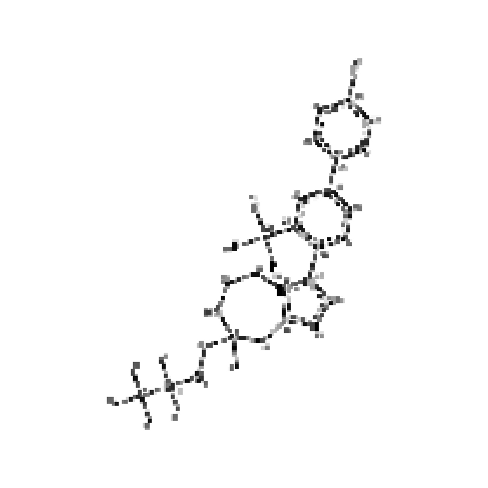 CC1(CO[Si](C)(C)C(C)(C)C)Cc2nnc(-c3ccc(-c4ccc(F)cc4)cc3C(F)(F)F)n2CCS1